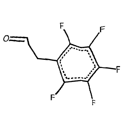 O=CCc1c(F)c(F)c(F)c(F)c1F